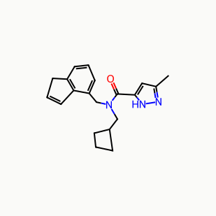 Cc1cc(C(=O)N(Cc2cccc3c2C=CC3)CC2CCC2)[nH]n1